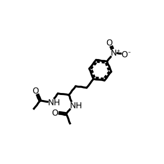 CC(=O)NCC(CCc1ccc([N+](=O)[O-])cc1)NC(C)=O